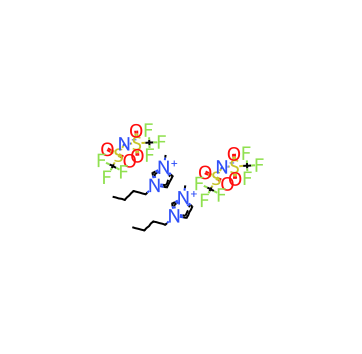 CCCCn1cc[n+](C)c1.CCCCn1cc[n+](C)c1.O=S(=O)([N-]S(=O)(=O)C(F)(F)F)C(F)(F)F.O=S(=O)([N-]S(=O)(=O)C(F)(F)F)C(F)(F)F